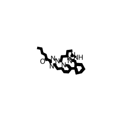 CCCCCn1nc(C(=O)CCCC)nc1Cc1ccc(-c2ccccc2-c2nnn[nH]2)cn1